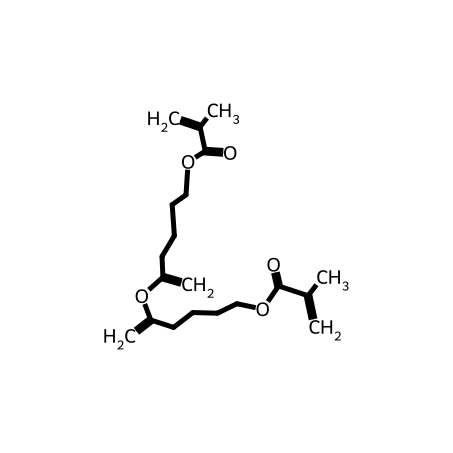 C=C(CCCCOC(=O)C(=C)C)OC(=C)CCCCOC(=O)C(=C)C